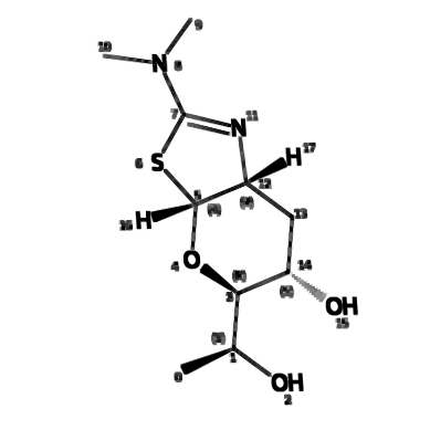 C[C@H](O)[C@H]1O[C@@H]2SC(N(C)C)=N[C@@H]2C[C@@H]1O